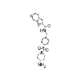 NC1CCN(S(=O)(=O)c2ccc(CNC(=O)c3cc4ccncc4s3)cc2)CC1